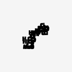 COCCN1CCc2cc(Nc3ncc4c(n3)SCN(c3c(Cl)cccc3Cl)C4=O)ccc2C1(C)C